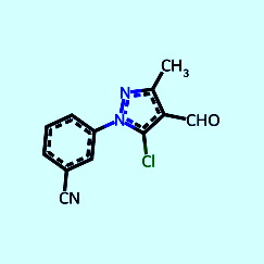 Cc1nn(-c2cccc(C#N)c2)c(Cl)c1C=O